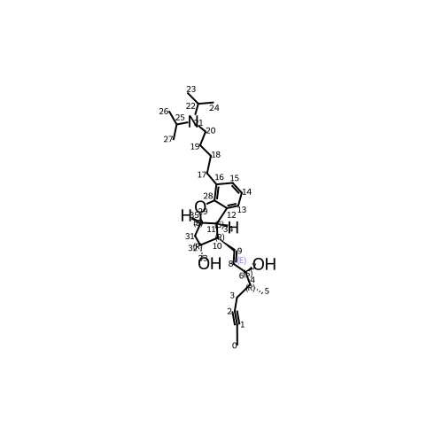 CC#CC[C@@H](C)[C@H](O)/C=C/[C@@H]1[C@H]2c3cccc(CCCCN(C(C)C)C(C)C)c3O[C@H]2C[C@H]1O